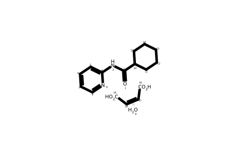 O.O=C(Nc1ccccn1)C1CCCCC1.O=C(O)/C=C\C(=O)O